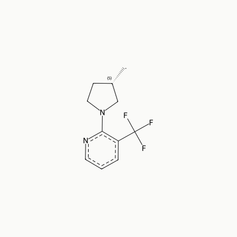 [CH2][C@H]1CCN(c2ncccc2C(F)(F)F)C1